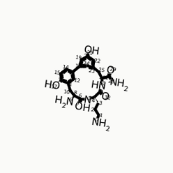 NCCC[C@@H]1NC(=O)[C@@H](N)Cc2cc(ccc2O)-c2cc(O)cc(c2)CC(C(N)=O)NC1=O